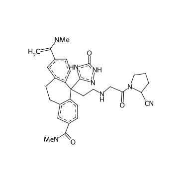 C=C(NC)c1ccc2c(c1)CCc1cc(C(=O)NC)ccc1C2(CCNCC(=O)N1CCCC1C#N)c1n[nH]c(=O)[nH]1